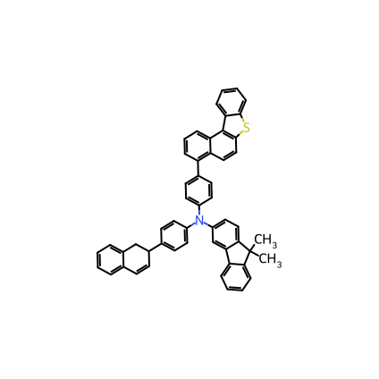 CC1(C)c2ccccc2-c2cc(N(c3ccc(-c4cccc5c4ccc4sc6ccccc6c45)cc3)c3ccc(C4C=Cc5ccccc5C4)cc3)ccc21